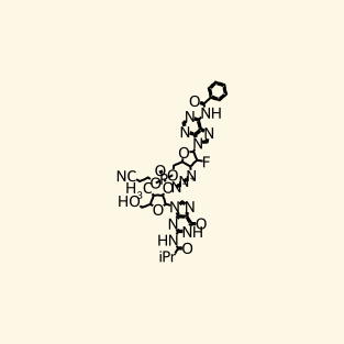 CC(C)C(=O)Nc1nc2c(ncn2C2OC(CO)C(C)C2OP(=O)(OCCC#N)OCC2OC(n3cnc4c(NC(=O)c5ccccc5)ncnc43)C(F)C2N=[N+]=[N-])c(=O)[nH]1